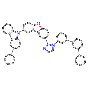 c1ccc(-c2cccc(-c3cccc(-n4ccnc4-c4ccc5oc6ccc(-n7c8ccccc8c8cc(-c9ccccc9)ccc87)cc6c5c4)c3)c2)cc1